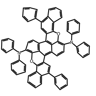 c1ccc(-c2cc3c(oc4c(N(c5ccccc5)c5ccccc5)ccc5c4c3c3ccc(N(c4ccccc4)c4ccccc4)c4oc6c7ccccc7c(-c7ccccc7)cc6c5c43)c3ccccc23)cc1